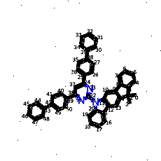 CC1(C)c2ccccc2-c2cc3c(cc21)c1ccccc1n3-c1nc(-c2ccc(-c3ccccc3)cc2)cc(-c2ccc(-c3ccccc3)cc2)n1